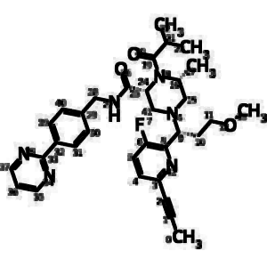 CC#Cc1ccc(F)c([C@@H](CCOC)N2C[C@@H](C)N(C(=O)C(C)C)[C@@H](C(=O)NCc3ccc(-c4ncccn4)cc3)C2)n1